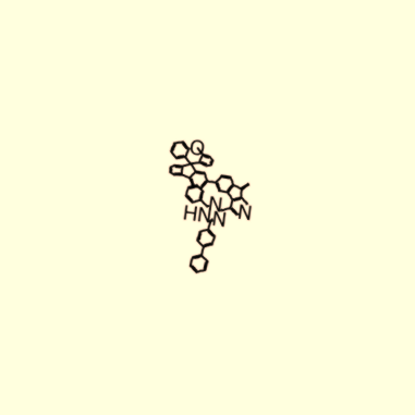 C=C1c2ccc(-c3ccc4c(c3)C3(c5ccccc5Oc5ccccc53)c3ccccc3-4)cc2-c2c1cncc2C1=NC(c2ccccc2)NC(c2ccc(-c3ccccc3)cc2)=N1